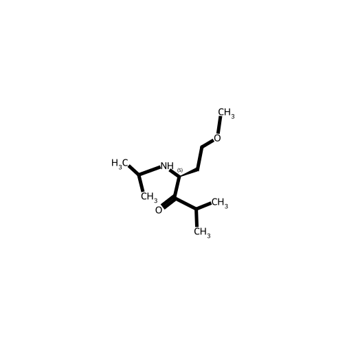 COCC[C@H](NC(C)C)C(=O)C(C)C